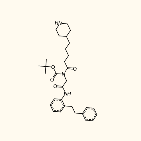 CC(C)(C)OC(=O)N(CC(=O)Nc1ccccc1CCc1ccccc1)C(=O)CCCCC1CCNCC1